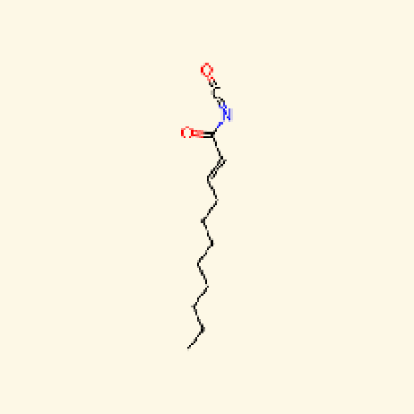 CCCCCCCC/C=C/C(=O)N=C=O